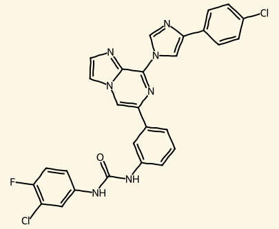 O=C(Nc1cccc(-c2cn3ccnc3c(-n3cnc(-c4ccc(Cl)cc4)c3)n2)c1)Nc1ccc(F)c(Cl)c1